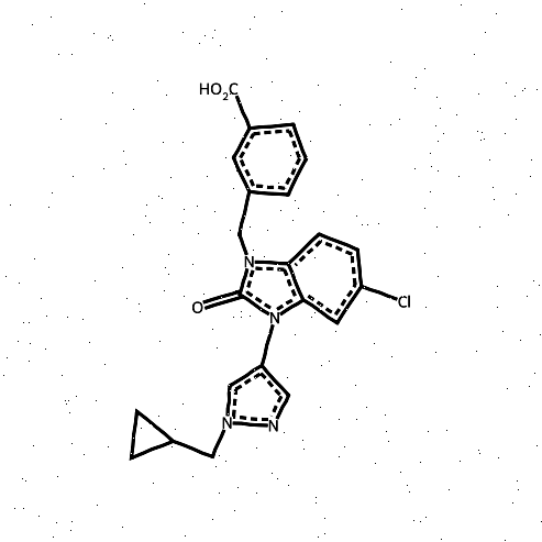 O=C(O)c1cccc(Cn2c(=O)n(-c3cnn(CC4CC4)c3)c3cc(Cl)ccc32)c1